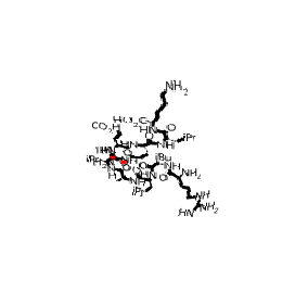 CC[C@H](C)[C@H](NC(=O)[C@@H](N)CCCNC(=N)N)C(=O)N[C@@H](CC(C)C)C(=O)N[C@@H](C)C(=O)N[C@H](C(=O)N[C@@H](CCC(=O)O)C(=O)N[C@@H](CCCNC(=N)N)C(=O)N[C@@H](CC(C)C)C(=O)N[C@@H](CCCCN)C(=O)O)C(C)C